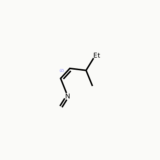 C=N/C=C\C(C)CC